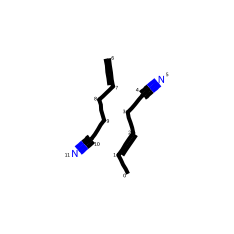 C/C=C/CC#N.C=CCCC#N